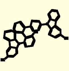 N#Cc1ccc2c(c1)c1ccccc1n2-c1ccc(-c2ccccc2-c2c(C#N)cccc2-n2c3ccccc3c3cc(C#N)ccc32)cc1